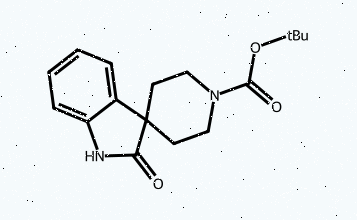 CC(C)(C)OC(=O)N1CCC2(CC1)C(=O)Nc1ccccc12